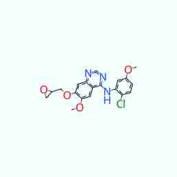 COc1ccc(Cl)c(Nc2ncnc3cc(OCC4CO4)c(OC)cc23)c1